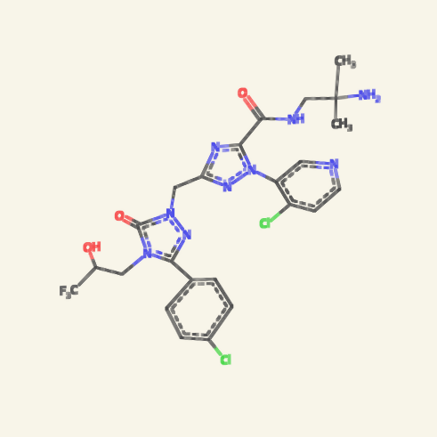 CC(C)(N)CNC(=O)c1nc(Cn2nc(-c3ccc(Cl)cc3)n(CC(O)C(F)(F)F)c2=O)nn1-c1cnccc1Cl